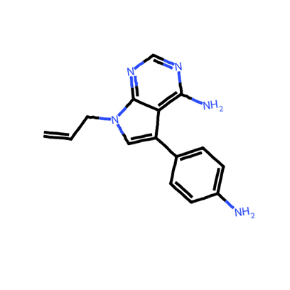 C=CCn1cc(-c2ccc(N)cc2)c2c(N)ncnc21